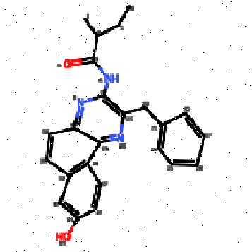 CCC(C)C(=O)Nc1nc2ccc3cc(O)ccc3c2nc1Cc1ccccc1